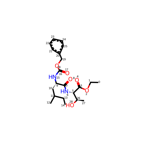 CCOC(=O)[C@@H](NC(=O)[C@H](CC(C)CC)NC(=O)OCc1ccccc1)[C@@H](C)O